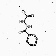 [O]C(=O)NNC(=O)c1ccccc1